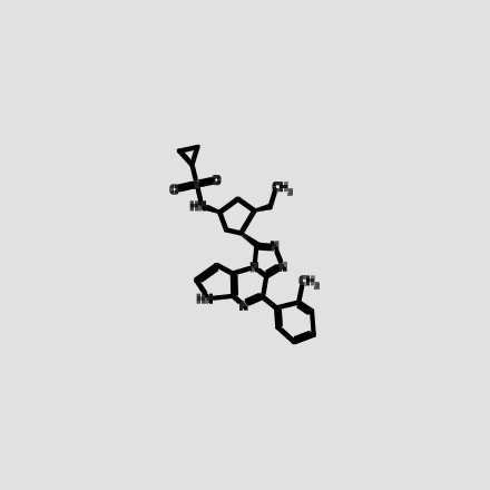 CC[C@@H]1C[C@H](NS(=O)(=O)C2CC2)C[C@@H]1c1nnc2c(-c3ccccc3C)nc3[nH]ccc3n12